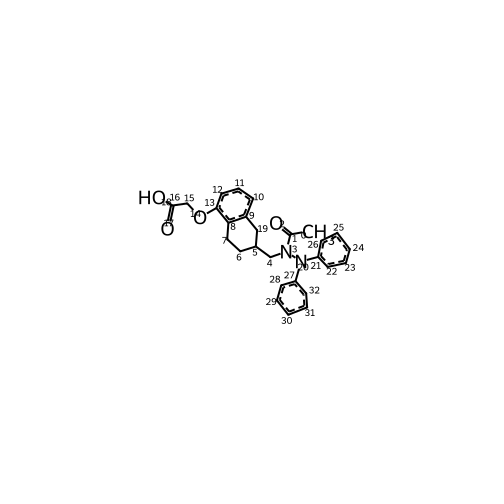 CC(=O)N(CC1CCc2c(cccc2OCC(=O)O)C1)N(c1ccccc1)c1ccccc1